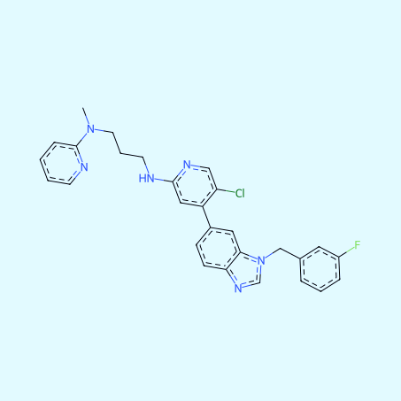 CN(CCCNc1cc(-c2ccc3ncn(Cc4cccc(F)c4)c3c2)c(Cl)cn1)c1ccccn1